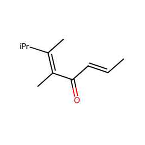 C/C=C/C(=O)C(C)=C(C)C(C)C